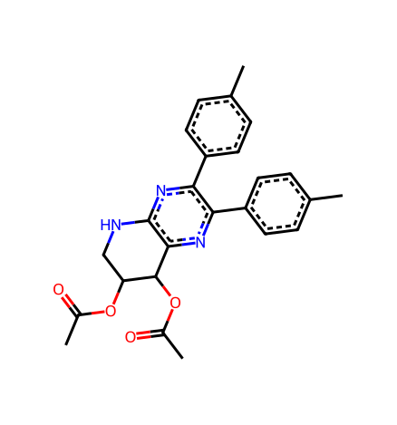 CC(=O)OC1CNc2nc(-c3ccc(C)cc3)c(-c3ccc(C)cc3)nc2C1OC(C)=O